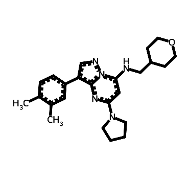 Cc1ccc(-c2cnn3c(NCC4CCOCC4)cc(N4CCCC4)nc23)cc1C